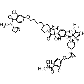 CC(C)C(Oc1ccc(C(O)(C(=O)N2CCC(CCCCOc3ccc(C(=O)N(C)[C@H]4CCOC4)c(Cl)c3)CC2)C(F)(F)F)cc1)(C(=O)N1CCC([C@@H]2C[C@H]2COc2ccc(C(=O)N(C)C)c(Cl)c2)CC1)C(F)(F)F